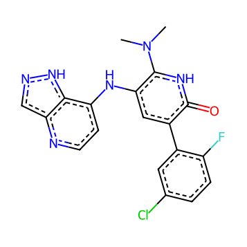 CN(C)c1[nH]c(=O)c(-c2cc(Cl)ccc2F)cc1Nc1ccnc2cn[nH]c12